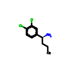 N#CCC[C@@H](N)c1ccc(Cl)c(Cl)c1